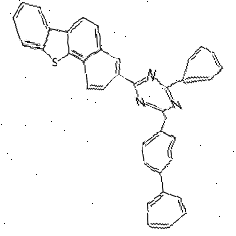 c1ccc(-c2ccc(-c3nc(-c4ccccc4)nc(-c4ccc5c(ccc6c7ccccc7sc56)c4)n3)cc2)cc1